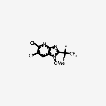 COn1c(C(F)(F)C(F)(F)F)nc2nc(Cl)c(Cl)cc21